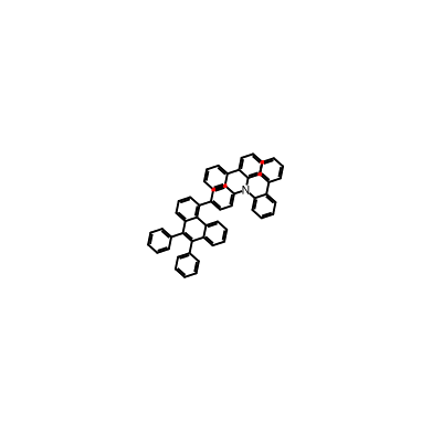 c1ccc(-c2ccccc2N(c2ccc(-c3cccc4c(-c5ccccc5)c(-c5ccccc5)c5ccccc5c34)cc2)c2ccccc2-c2ccccc2)cc1